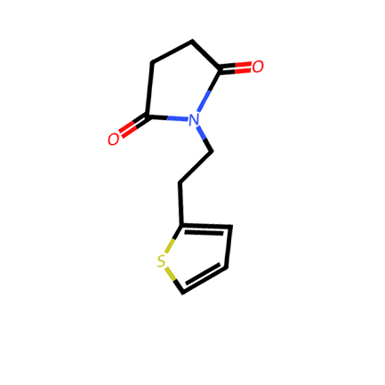 O=C1CCC(=O)N1CCc1cccs1